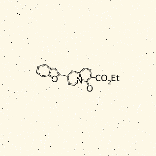 CCOC(=O)c1ccc2cc(-c3cc4ccccc4o3)ccn2c1=O